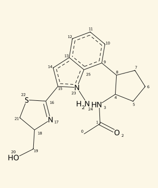 CC(=O)NC1CCCC1c1cccc2cc(C3=NC(CO)CS3)n(N)c12